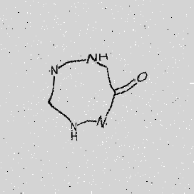 O=C1[N]NC[N]N1